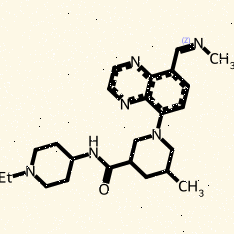 CCN1CCC(NC(=O)C2CC(C)CN(c3ccc(/C=N\C)c4nccnc34)C2)CC1